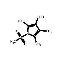 Cc1c(C=O)c(C)n(S(C)(=O)=O)c1C